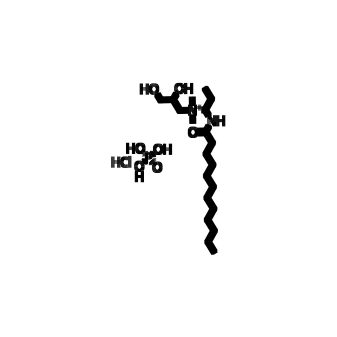 CCCCCCCCCCCC(=O)NC(CC)[N+](C)(C)CC(O)CO.Cl.O=P(O)(O)O